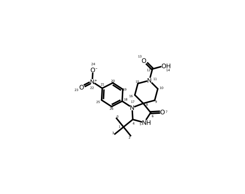 CC(C)(C)C1NC(=O)C2(CCN(C(=O)O)CC2)N1c1ccc([N+](=O)[O-])cc1